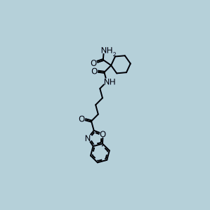 NC(=O)C1(C(=O)NCCCCC(=O)c2nc3ccccc3o2)CCCCC1